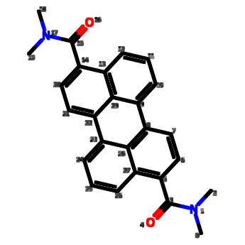 CN(C)C(=O)c1ccc2c3cccc4c(C(=O)N(C)C)ccc(c5cccc1c52)c43